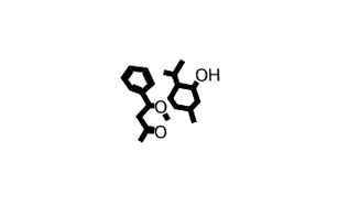 CC1CCC(C(C)C)C(O)C1.COC(CC(C)=O)c1ccccc1